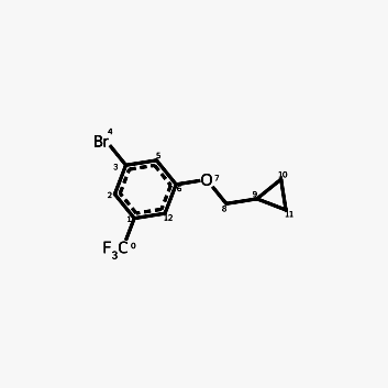 FC(F)(F)c1cc(Br)cc(OCC2CC2)c1